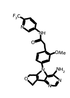 COc1cc(-n2c3c(c4ncnc(N)c42)COC3)ccc1CC(=O)Nc1ccc(C(F)(F)F)nc1